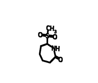 CS(=O)(=O)C1CCCCC(=O)N1